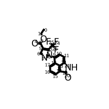 CCOC(=O)c1cnn(-c2ccc3c4c(cccc24)C(=O)N3)c1C(F)(F)F